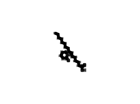 CCCCCCCCCCCCCCCC(=O)O.O=C1CCCCN1